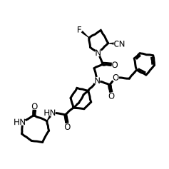 N#C[C@@H]1C[C@H](F)CN1C(=O)CN(C(=O)OCc1ccccc1)C12CCC(C(=O)N[C@H]3CCCCNC3=O)(CC1)CC2